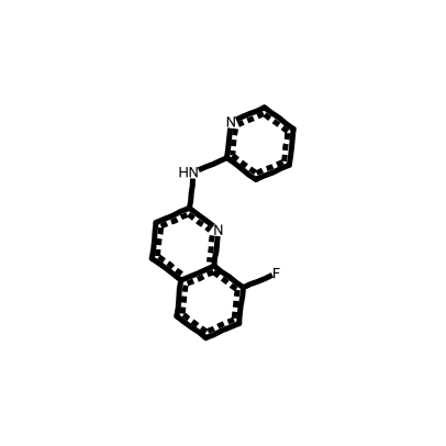 Fc1cccc2ccc(Nc3ccccn3)nc12